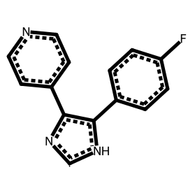 Fc1ccc(-c2[nH][c]nc2-c2ccncc2)cc1